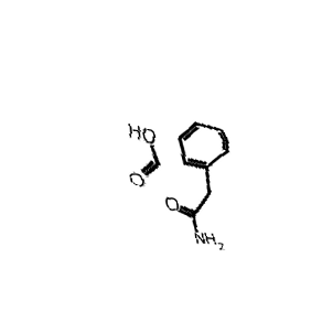 NC(=O)Cc1ccccc1.O=CO